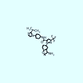 CC(C)c1nccn1-c1ccc(NC(=O)c2cc(C(F)(F)F)nn2-c2ccc3onc(N)c3c2)cc1